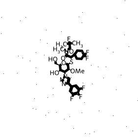 CO[C@@H]1[C@@H](n2cc(-c3cc(F)c(F)c(F)c3)nn2)[C@@H](O)[C@@H](CO)O[C@H]1S[C@H](C(=O)N(C)CC(C)(C)F)C1(O)CCC(F)(F)CC1